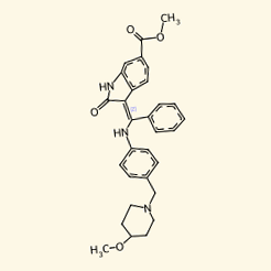 COC(=O)c1ccc2c(c1)NC(=O)/C2=C(\Nc1ccc(CN2CCC(OC)CC2)cc1)c1ccccc1